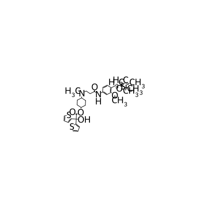 COc1cc(NC(=O)CCN(C)C2CCC(OC(=O)C(O)(c3cccs3)c3cccs3)CC2)ccc1CO[Si](C)(C)C(C)(C)C